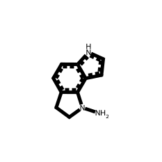 NN1CCc2ccc3[nH]ccc3c21